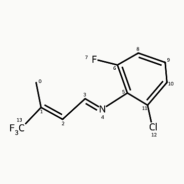 CC(=CC=Nc1c(F)cccc1Cl)C(F)(F)F